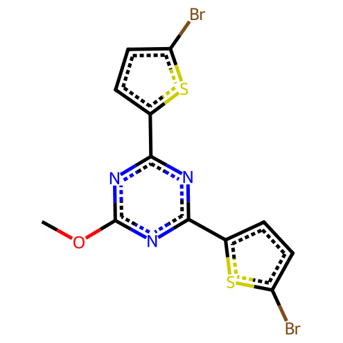 COc1nc(-c2ccc(Br)s2)nc(-c2ccc(Br)s2)n1